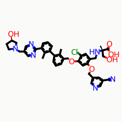 Cc1c(COc2cc(OCc3cncc(C#N)c3)c(CN[C@@](C)(CO)C(=O)O)cc2Cl)cccc1-c1cccc(-c2ncc(CN3CC[C@@H](O)C3)cn2)c1C